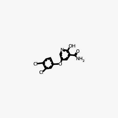 NC(=O)c1cc(Oc2ccc(Cl)c(Cl)c2)cnc1O